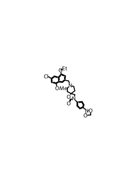 CCOc1cc(CN2CCC3(CC2)CN(c2ccc(N4OCO4)cc2)C(=O)O3)cc2c(OC)cc(Cl)cc12